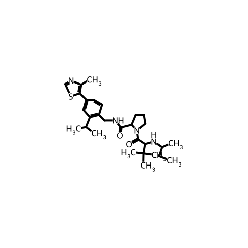 CCC(C)NC(C(=O)N1CCCC1C(=O)NCc1ccc(-c2scnc2C)cc1C(C)C)C(C)(C)C